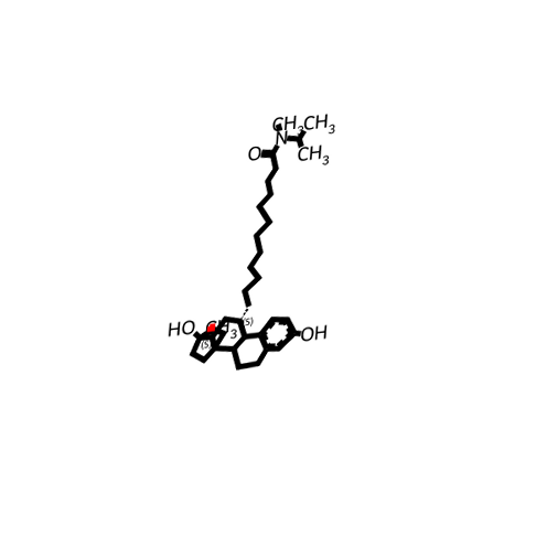 CC(C)N(C)C(=O)CCCCCCCCCCC[C@H]1C[C@]2(C)C3(O)CCC2(CC3)C2CCc3cc(O)ccc3C21